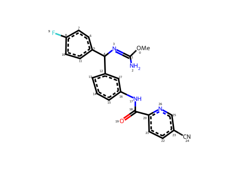 CO/C(N)=N/C(c1ccc(F)cc1)c1cccc(NC(=O)c2ccc(C#N)cn2)c1